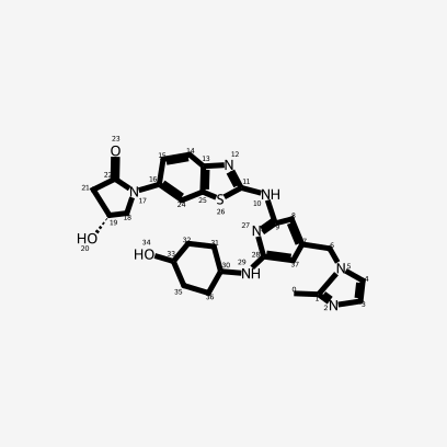 Cc1nccn1Cc1cc(Nc2nc3ccc(N4C[C@H](O)CC4=O)cc3s2)nc(NC2CCC(O)CC2)c1